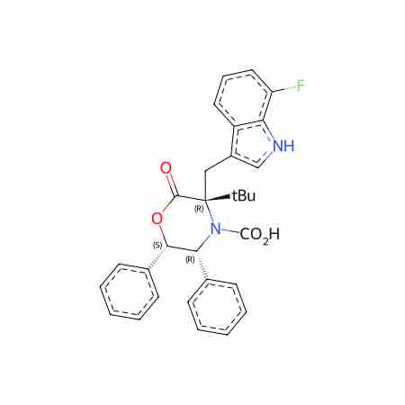 CC(C)(C)[C@]1(Cc2c[nH]c3c(F)cccc23)C(=O)O[C@@H](c2ccccc2)[C@@H](c2ccccc2)N1C(=O)O